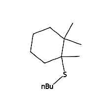 CCCCSC1(C)CCCCC1(C)C